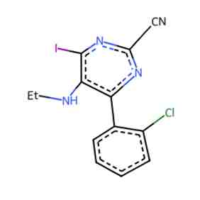 CCNc1c(I)nc(C#N)nc1-c1ccccc1Cl